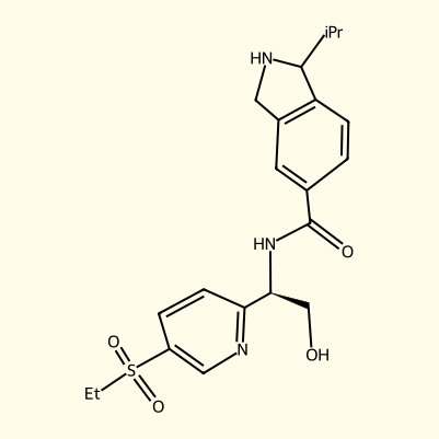 CCS(=O)(=O)c1ccc([C@H](CO)NC(=O)c2ccc3c(c2)CNC3C(C)C)nc1